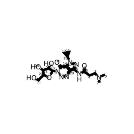 CN(C)CCC(=O)Nc1nn(C2CC2)c2c(=O)n(C3OC(CO)C(O)C3O)nnc12